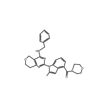 Cc1cc2c(C(=O)N3CCOCC3)cccc2n1-c1nc2c(c(NCc3ccccc3)n1)COCC2